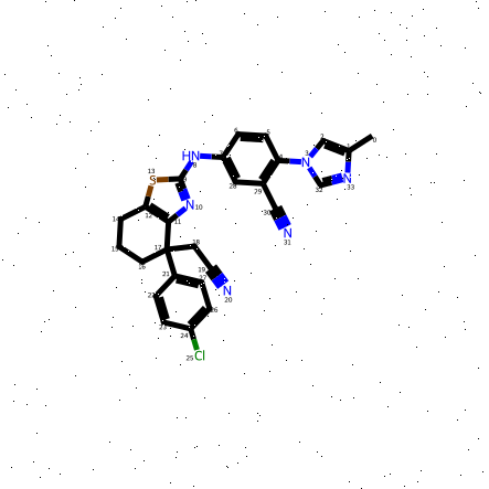 Cc1cn(-c2ccc(Nc3nc4c(s3)CCCC4(CC#N)c3ccc(Cl)cc3)cc2C#N)cn1